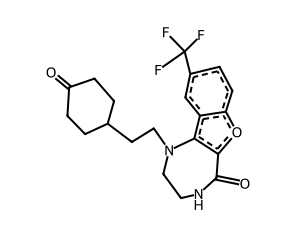 O=C1CCC(CCN2CCNC(=O)c3oc4ccc(C(F)(F)F)cc4c32)CC1